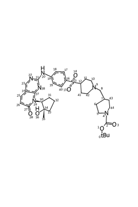 CC(C)(C)OC(=O)N1CCC(CN2CCC(S(=O)(=O)c3ccc(Nc4ncc5ccc(=O)n([C@H]6CCC[C@]6(C)O)c5n4)cc3)CC2)CC1